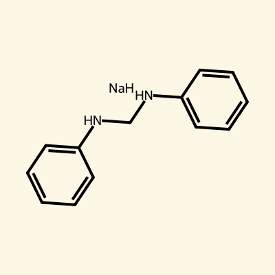 [NaH].c1ccc(NCNc2ccccc2)cc1